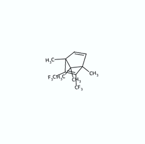 CC12C=CC(C)(C(C(F)(F)F)=C1C(F)(F)F)C2(C)C